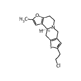 Cc1cc2c(o1)CCN1Cc3cc(CCCl)sc3C[C@@H]21